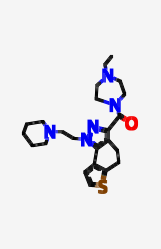 CCN1CCN(C(=O)c2nn(CCN3CCCCC3)c3c2CCc2sccc2-3)CC1